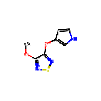 CCCCOc1nsnc1Oc1cc[nH]c1